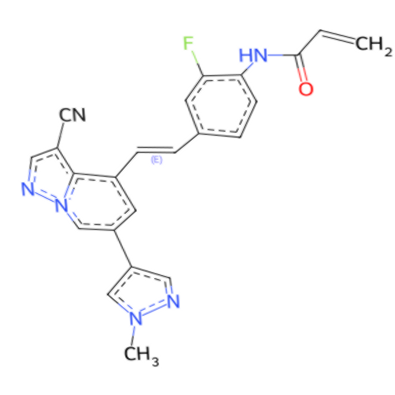 C=CC(=O)Nc1ccc(/C=C/c2cc(-c3cnn(C)c3)cn3ncc(C#N)c23)cc1F